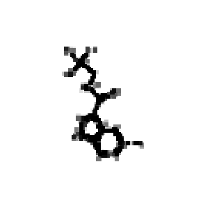 Cc1ccc2[nH]nc(C(=O)NCC(F)(F)F)c2c1